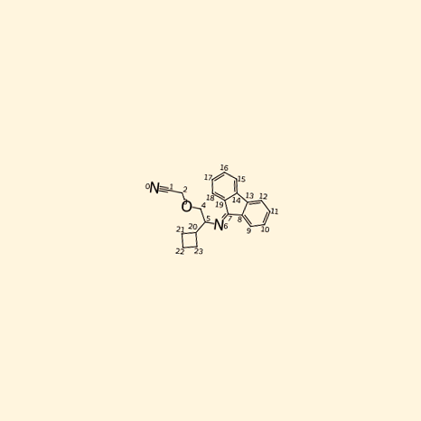 N#CCOCC(N=C1c2ccccc2-c2ccccc21)C1CCC1